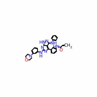 C=CC(=O)Nc1cccc(-c2nc(Nc3cccc(N4CCOCC4)c3)nc3[nH]nc(Nc4ccccc4)c23)c1